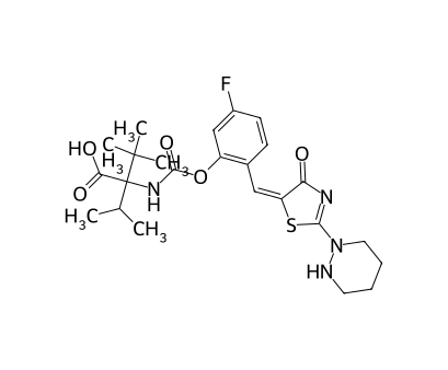 CC(C)C(NC(=O)Oc1cc(F)ccc1C=C1SC(N2CCCCN2)=NC1=O)(C(=O)O)C(C)(C)C